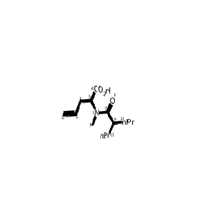 C=CCC(C(=O)O)N(C)C(=O)C(CCC)CCC